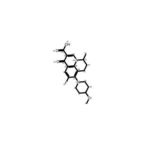 COC1CCN(c2c(F)cc3c(=O)c(C(=O)O)cn4c3c2CCC4C)CC1